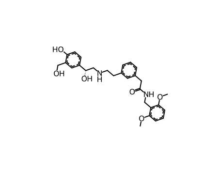 COc1cccc(OC)c1CNC(=O)Cc1cccc(CCNC[C@H](O)c2ccc(O)c(CO)c2)c1